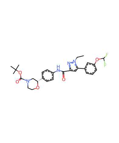 CCn1nc(C(=O)Nc2ccc([C@H]3CN(C(=O)OC(C)(C)C)CCO3)cc2)cc1-c1cccc(OC(F)F)c1